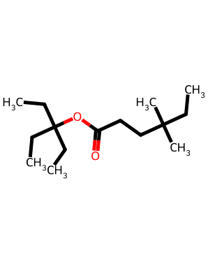 CCC(C)(C)CCC(=O)OC(CC)(CC)CC